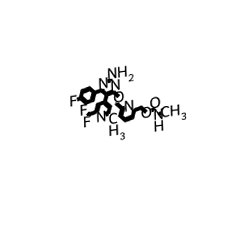 CNC(=O)OCc1cccc(COc2nc(N)nc(-c3ccc(F)cc3)c2-c2cc(C)nc(C(F)F)c2)n1